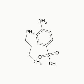 CCCCP.Nc1ccc(S(=O)(=O)O)cc1